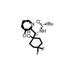 CC(C)(C)[S+]([O-])N[C@@H](c1ncccc1Cl)C1(O)CCC(F)(F)CC1